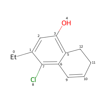 CCc1cc(O)c2c(c1Cl)C=CCC2